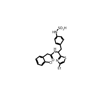 CCc1csc(C(Cc2[c]cc(NS(=O)(=O)O)cc2)NC(=O)Cc2ccccc2Cl)n1